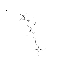 CC1(C)CC1C(=O)N/C(=C/CCCCCS(=O)(=O)O)C(=O)O.[NaH]